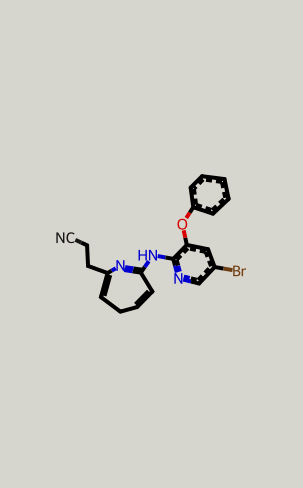 N#CCCC1=CCC=CC(Nc2ncc(Br)cc2Oc2ccccc2)=N1